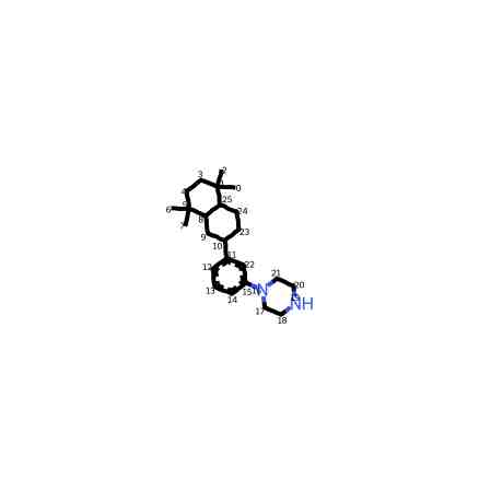 CC1(C)CCC(C)(C)C2CC(c3cccc(N4CCNCC4)c3)CCC21